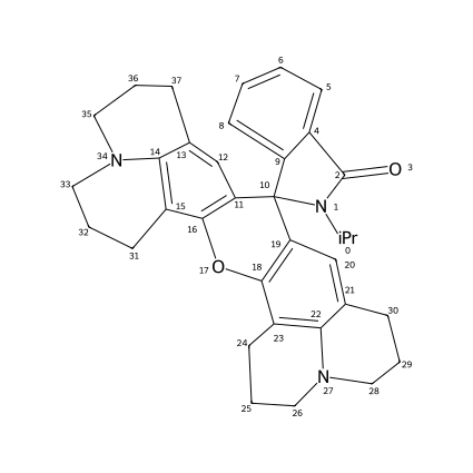 CC(C)N1C(=O)c2ccccc2C12c1cc3c4c(c1Oc1c2cc2c5c1CCCN5CCC2)CCCN4CCC3